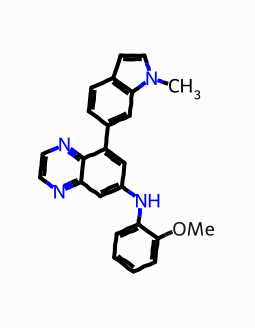 COc1ccccc1Nc1cc(-c2ccc3ccn(C)c3c2)c2nccnc2c1